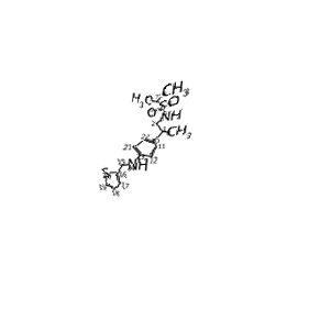 CC(CNS(=O)(=O)C(C)C)c1ccc(NCc2cccs2)cc1